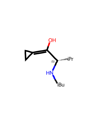 CCC(C)N[C@H](C(O)=C1CC1)C(C)C